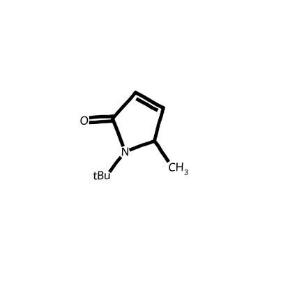 CC1C=CC(=O)N1C(C)(C)C